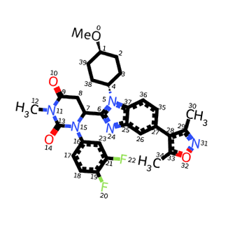 CO[C@H]1CC[C@H](n2c(C3CC(=O)N(C)C(=O)N3c3ccc(F)c(F)c3)nc3cc(-c4c(C)noc4C)ccc32)CC1